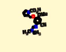 COc1cc(C#N)c(N=CN(C)C)cc1OC[C@H]1CCCN1C(=O)O